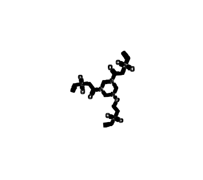 C=CS(=O)(=O)CCON1CN(C(=O)CS(=O)(=O)C=C)CN(C(=O)CS(=O)(=O)C=C)C1